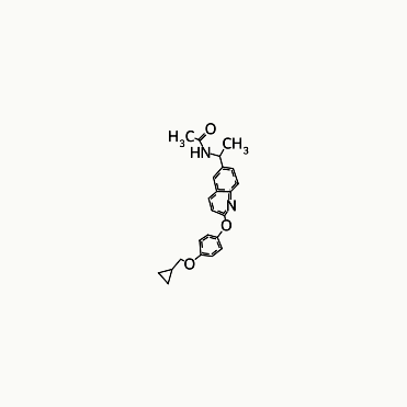 CC(=O)NC(C)c1ccc2nc(Oc3ccc(OCC4CC4)cc3)ccc2c1